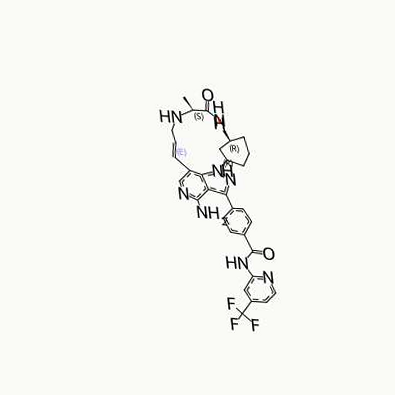 C[C@@H]1NC/C=C/c2cnc(N)c3c(-c4ccc(C(=O)Nc5cc(C(F)(F)F)ccn5)cc4)nn(c23)[C@@H]2CCC[C@H](C2)NC1=O